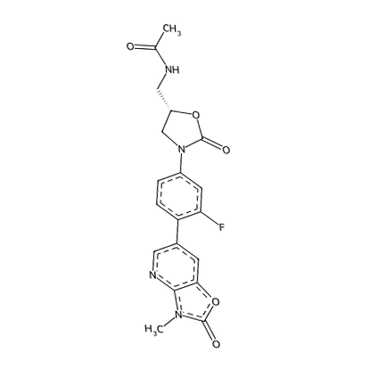 CC(=O)NC[C@H]1CN(c2ccc(-c3cnc4c(c3)oc(=O)n4C)c(F)c2)C(=O)O1